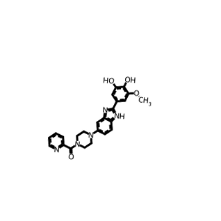 COc1cc(-c2nc3cc(N4CCN(C(=O)c5ccccn5)CC4)ccc3[nH]2)cc(O)c1O